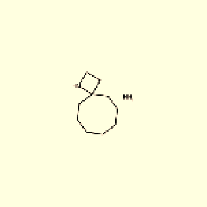 C1CCCC2(CCC1)CCN2.N